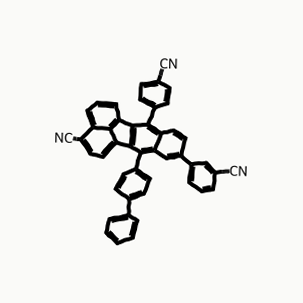 N#Cc1ccc(-c2c3c(c(-c4ccc(-c5ccccc5)cc4)c4cc(-c5cccc(C#N)c5)ccc24)-c2ccc(C#N)c4cccc-3c24)cc1